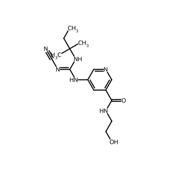 CCC(C)(C)N/C(=N\C#N)Nc1cncc(C(=O)NCCO)c1